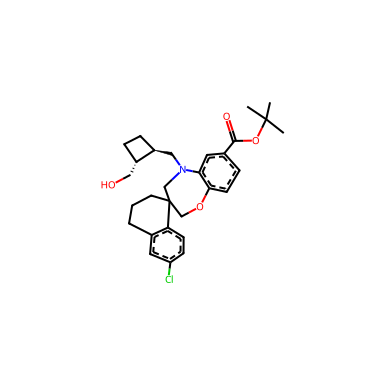 CC(C)(C)OC(=O)c1ccc2c(c1)N(C[C@@H]1CC[C@H]1CO)CC1(CCCc3cc(Cl)ccc31)CO2